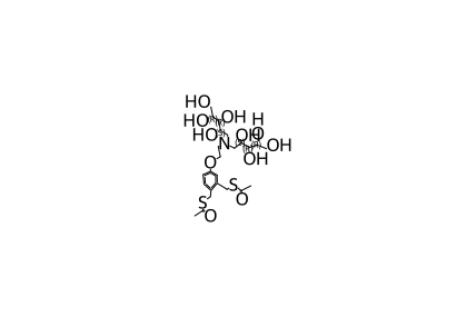 CC(=O)SCc1ccc(OCCN(C[C@H](O)[C@@H](O)[C@H](O)CO)C[C@H](O)[C@@H](O)[C@H](O)CO)cc1CSC(C)=O